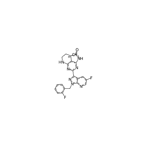 C[C@@]12CCNc3nc(-c4nn(Cc5ccccc5F)c5ncc(F)cc45)nc(c31)NC2=O